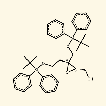 CC(C)(C)[Si](OCC[C@]1(CO[Si](c2ccccc2)(c2ccccc2)C(C)(C)C)O[C@H]1CO)(c1ccccc1)c1ccccc1